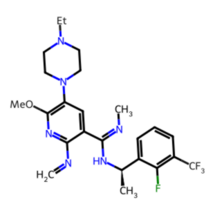 C=Nc1nc(OC)c(N2CCN(CC)CC2)cc1/C(=N\C)N[C@H](C)c1cccc(C(F)(F)F)c1F